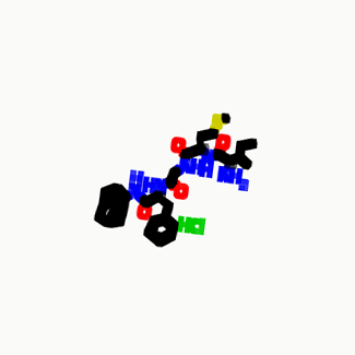 CCC(C)[C@H](N)C(=O)N[C@H](CCSC)C(=O)NCC(=O)N[C@@H](Cc1ccccc1)C(=O)NC1C2CC3CC(C2)CC1C3.Cl